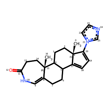 C[C@]12CCC3C(CCC4=CNC(=O)CC[C@@]43C)C1=CC=C2n1ccnc1